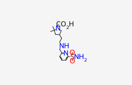 CC1(C)CC(CCNCc2cccc(S(N)(=O)=O)n2)CN1C(=O)O